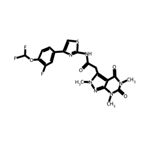 Cn1nc2c(c1CC(=O)Nc1nc(-c3ccc(OC(F)F)c(F)c3)cs1)c(=O)n(C)c(=O)n2C